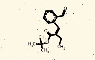 CCC(=Cc1ccccc1C=O)C(=O)OC(C)(C)C